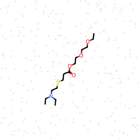 CCOCCOCCOC(=O)CCSCCN(CC)CC